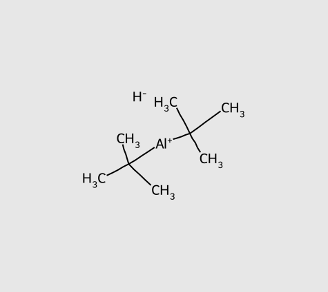 C[C](C)(C)[Al+][C](C)(C)C.[H-]